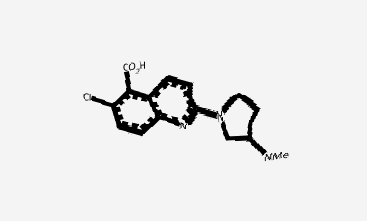 CNC1CCN(c2ccc3c(C(=O)O)c(Cl)ccc3n2)C1